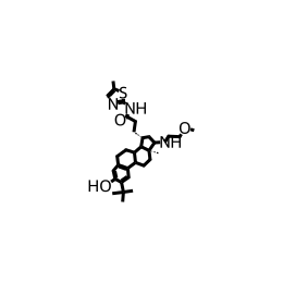 COCCNC1C[C@@H](CCC(=O)Nc2ncc(C)s2)C2C3CCc4cc(O)c(C(C)(C)C)cc4C3CC[C@]12C